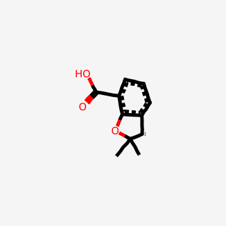 CC1(C)[C]c2cccc(C(=O)O)c2O1